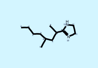 CCCCC(C)CC(C)C1=NCCN1